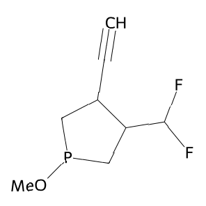 C#CC1CP(OC)CC1C(F)F